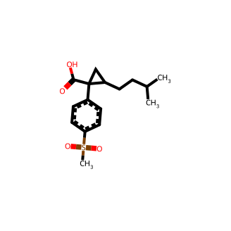 CC(C)CCC1CC1(C(=O)O)c1ccc(S(C)(=O)=O)cc1